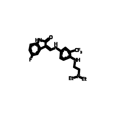 CCN(CC)CCNc1ccc(NC=C2C(=O)Nc3ccc(F)cc32)cc1C(F)(F)F